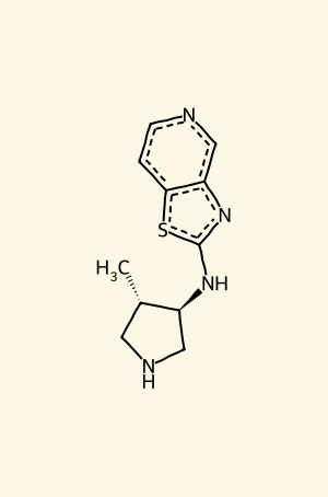 C[C@H]1CNC[C@@H]1Nc1nc2cnccc2s1